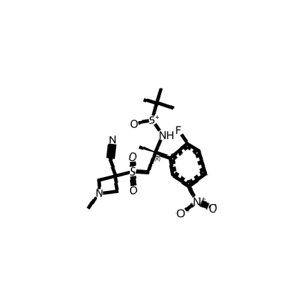 CN1CC(C#N)(S(=O)(=O)C[C@](C)(N[S+]([O-])C(C)(C)C)c2cc([N+](=O)[O-])ccc2F)C1